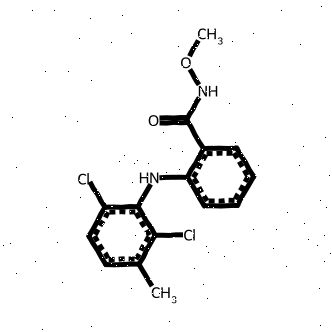 CONC(=O)c1ccccc1Nc1c(Cl)ccc(C)c1Cl